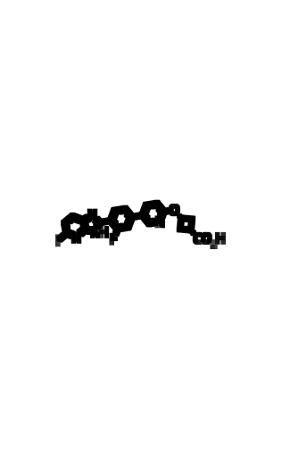 O=C(O)[C@H]1C[C@H](Oc2ccc(-c3ccc(-c4nc5ccc(I)nc5[nH]4)c(F)c3)cn2)C1